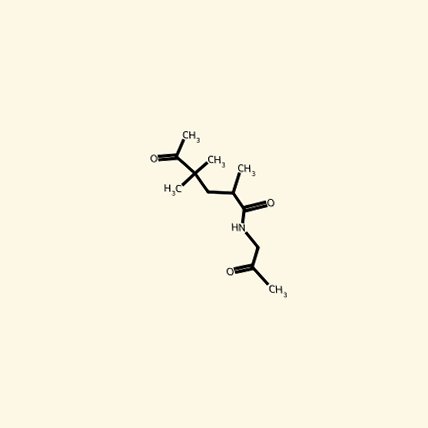 CC(=O)CNC(=O)C(C)CC(C)(C)C(C)=O